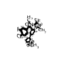 Cc1nc(-c2cc(-c3cccc(S(C)(=O)=O)c3)ccc2-n2cc(C(F)(F)F)nc2C)c(-c2ccc(Cl)c(F)c2)o1